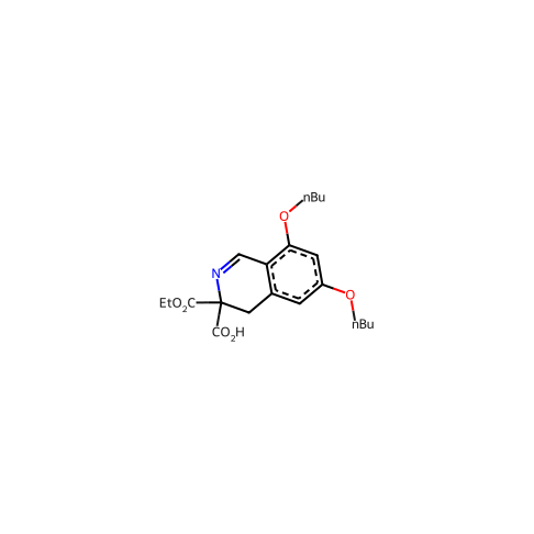 CCCCOc1cc2c(c(OCCCC)c1)C=NC(C(=O)O)(C(=O)OCC)C2